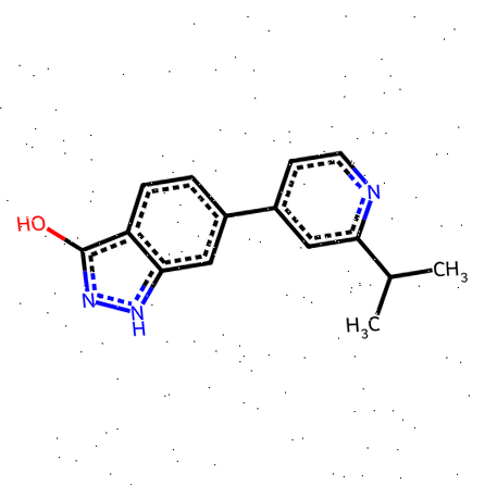 CC(C)c1cc(-c2ccc3c(O)n[nH]c3c2)ccn1